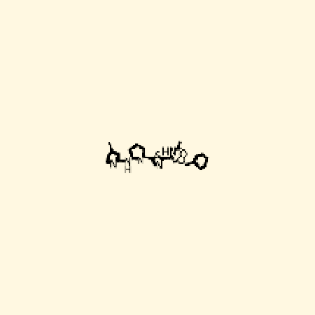 CC(=O)N[C@@H](COCc1ccccc1)c1ncc(-c2cccc(Nc3cc(C)ccn3)n2)s1